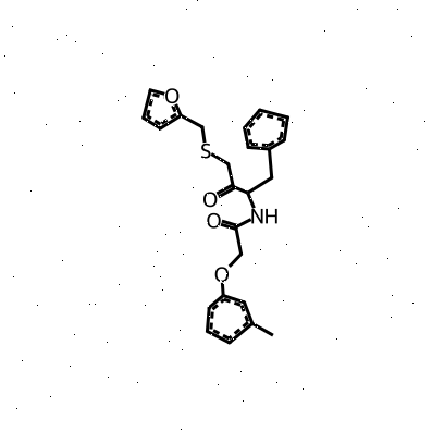 Cc1cccc(OCC(=O)NC(Cc2ccccc2)C(=O)CSCc2ccco2)c1